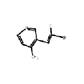 Cc1ccncc1/C=C(\F)Br